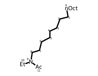 CCCCCCCCCCCCCCCCN(CC)C(C)=O